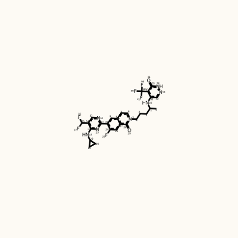 CC(CCCn1ccc2cc(-c3ncc(C(F)F)c(NC4CC4)n3)c(F)cc2c1=O)Nc1cn[nH]c(=O)c1C(F)(F)F